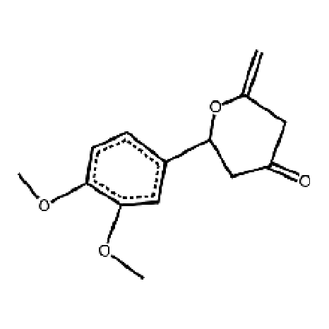 C=C1CC(=O)CC(c2ccc(OC)c(OC)c2)O1